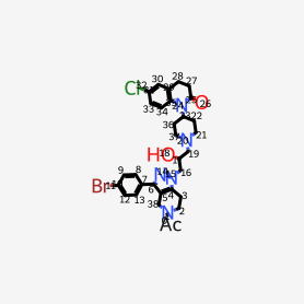 CC(=O)N1CCc2c(c(-c3ccc(Br)cc3)nn2CC(O)CN2CCC(N3C(=O)CCc4cc(Cl)ccc43)CC2)C1